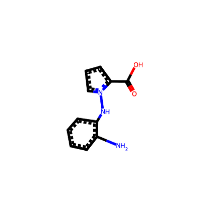 Nc1ccccc1Nn1cccc1C(=O)O